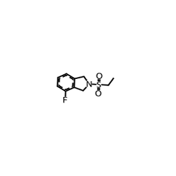 CCS(=O)(=O)N1Cc2cccc(F)c2C1